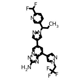 CCC(c1ccc(C(F)F)nc1)n1cc(-c2cc(-c3cnn(CC(F)(F)F)c3)c3nc(N)nn3c2)cn1